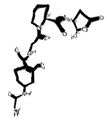 CC(C)C(=O)NC1CCC(C(=O)NCC(=O)N2CCC[C@H]2C(=O)N[C@H]2CC(=O)O[C@H]2O)=C(Cl)C1